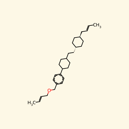 CC=CCOCc1ccc(C2CCC(CC[C@H]3CC[C@H](C/C=C/C)CC3)CC2)cc1